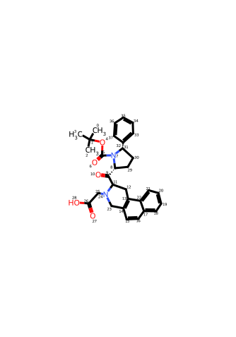 CC(C)(C)OC(=O)N1[C@@H](C(=O)C2Cc3c(ccc4ccccc34)CN2CC(=O)O)CC[C@H]1c1ccccc1